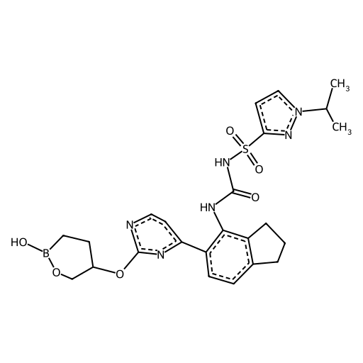 CC(C)n1ccc(S(=O)(=O)NC(=O)Nc2c(-c3ccnc(OC4CCB(O)OC4)n3)ccc3c2CCC3)n1